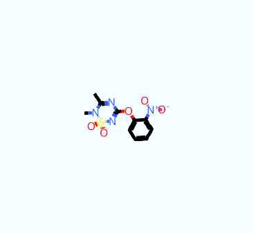 CC1=NC(Oc2ccccc2[N+](=O)[O-])=NS(=O)(=O)N1C